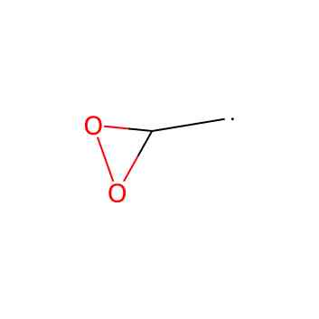 [CH2]C1OO1